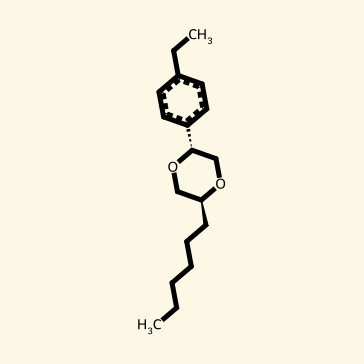 CCCCCC[C@H]1CO[C@H](c2ccc(CC)cc2)CO1